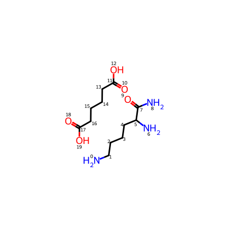 NCCCCC(N)C(N)=O.O=C(O)CCCCC(=O)O